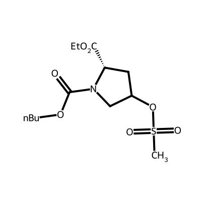 CCCCOC(=O)N1CC(OS(C)(=O)=O)C[C@H]1C(=O)OCC